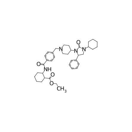 CCOC(=O)C1CCCCC1NC(=O)c1ccc(CN2CCC(N3C(=O)N(C4CCCCC4)CC3c3ccccc3)CC2)cc1